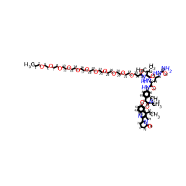 CCCOCCOCCOCCOCCOCCOCCOCCOCCOCCOCCOCCC(=O)N[C@H](C(=O)N[C@@H](CCCNC(N)=O)C(=O)Nc1ccc(C(Oc2ccc3nc4c(c(CC)c3c2)CN2C(=O)CCC=C42)C(=O)N(C)C)cc1)C(C)C